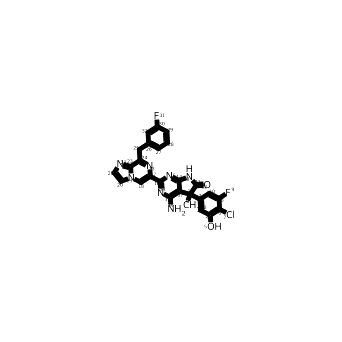 CC1(c2cc(O)c(Cl)c(F)c2)C(=O)Nc2nc(-c3cn4ccnc4c(Cc4cccc(F)c4)n3)nc(N)c21